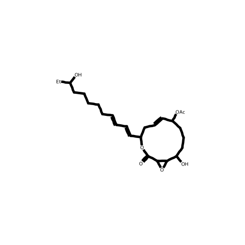 CCC(O)CCCCC/C=C/C=C/C1C/C=C/C(OC(C)=O)CCCC(O)C2OC2C(=O)O1